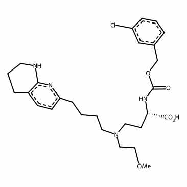 COCCN(CCCCc1ccc2c(n1)NCCC2)CC[C@H](NC(=O)OCc1cccc(Cl)c1)C(=O)O